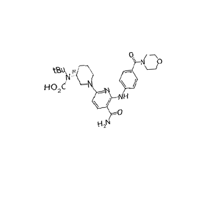 CC(C)(C)N(C(=O)O)[C@@H]1CCCN(c2ccc(C(N)=O)c(Nc3ccc(C(=O)N4CCOCC4)cc3)n2)C1